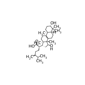 C=C(CC[C@@H](C(=O)O)[C@H]1C[C@H](O)[C@@]2(C)C3=C(CC[C@]12C)[C@@]1(C)CC[C@H](O)C(C)(C)[C@@H]1CC3)C(C)C